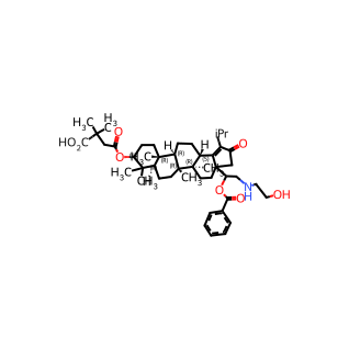 CC(C)C1=C2[C@H]3CC[C@@H]4[C@@]5(C)CC[C@H](OC(=O)CC(C)(C)C(=O)O)C(C)(C)[C@@H]5CC[C@@]4(C)[C@]3(C)CCC2(C(CNCCO)OC(=O)c2ccccc2)CC1=O